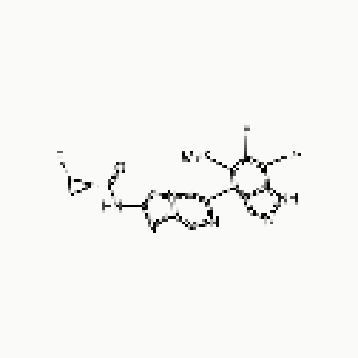 CSc1c(F)c(C(C)C)c2[nH]ncc2c1-c1cn2cc(NC(=O)[C@@H]3C[C@@H]3F)nc2cn1